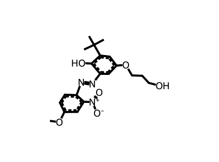 COc1ccc(N=Nc2cc(OCCCO)cc(C(C)(C)C)c2O)c([N+](=O)[O-])c1